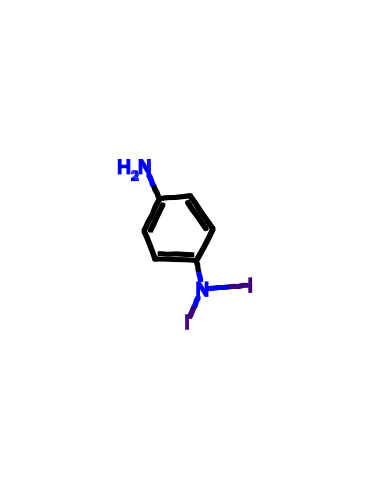 Nc1ccc(N(I)I)cc1